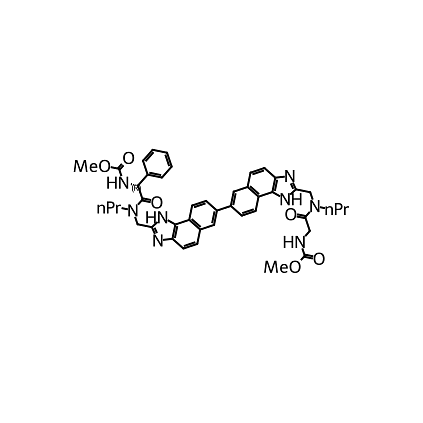 CCCN(Cc1nc2ccc3cc(-c4ccc5c(ccc6nc(CN(CCC)C(=O)[C@H](NC(=O)OC)c7ccccc7)[nH]c65)c4)ccc3c2[nH]1)C(=O)CNC(=O)OC